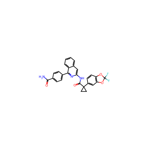 NC(=O)c1ccc(-c2nc(NC(=O)C3(c4ccc5c(c4)OC(F)(F)O5)CC3)cc3ccccc23)cc1